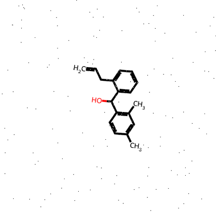 C=CCc1ccccc1C(O)c1ccc(C)cc1C